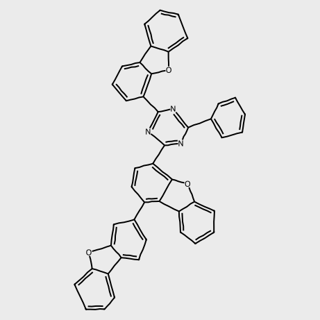 c1ccc(-c2nc(-c3cccc4c3oc3ccccc34)nc(-c3ccc(-c4ccc5c(c4)oc4ccccc45)c4c3oc3ccccc34)n2)cc1